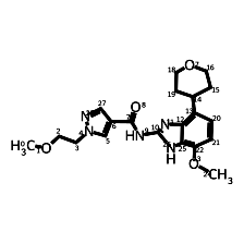 COCCn1cc(C(=O)Nc2nc3c(C4CCOCC4)ccc(OC)c3[nH]2)cn1